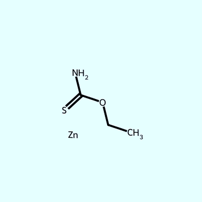 CCOC(N)=S.[Zn]